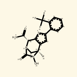 NC(=O)[C@@H]1c2sc(-c3ccccc3C(F)(F)F)cc2[C@@H]2CN1C(=O)N2O